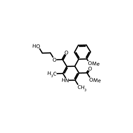 COC(=O)C1=C(C)NC(C)=C(C(=O)OCCO)C1c1ccccc1OC